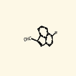 O=CC1=Cc2ccc(Br)c3cccc1c23